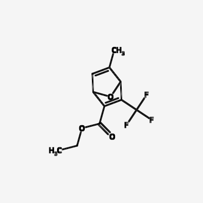 CCOC(=O)C1=C(C(F)(F)F)C2OC1C=C2C